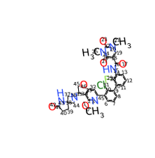 COc1nc(-c2cccc(-c3cccc(NC(=O)c4cn(C)c(=O)n(C)c4=O)c3F)c2Cl)cc2c1C(N1CC3(CCC(=O)N3)C1)CO2